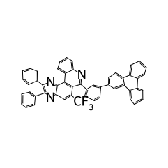 FC(F)(F)c1cc2nc(-c3ccccc3)c(-c3ccccc3)nc2c2c1c(-c1cccc(-c3ccc4c5ccccc5c5ccccc5c4c3)c1)nc1ccccc12